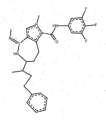 C/N=S1/NC(C(C)CCc2ccccc2)CCc2c1cn(C)c2C(=O)Nc1cc(F)c(F)c(F)c1